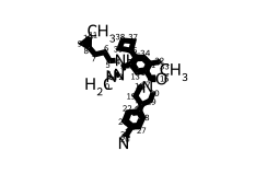 C=N/N=C(\NCCCC1CC1C)c1cc(C(=O)N2CCC(c3ccc(C#N)cc3)CC2)c(CC)cc1C1CCC1